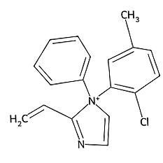 C=CC1=NC=C[N+]1(c1ccccc1)c1cc(C)ccc1Cl